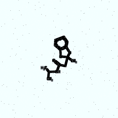 CC(C)NC(=O)CC1(C)Oc2ccccc2O1